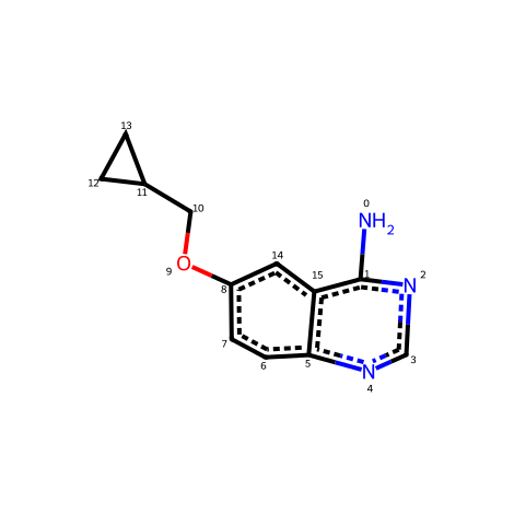 Nc1ncnc2ccc(OCC3CC3)cc12